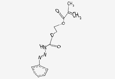 C=C(C)C(=O)OCCOC(=O)NN=Nc1ccccc1